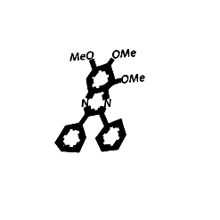 COc1cc2nc(-c3ccccc3)c(-c3ccccc3)nc2c(OC)c1OC